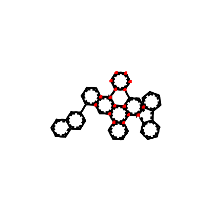 c1ccc(-c2ccccc2-c2c(-c3ccccc3)cccc2-c2ccccc2N(c2cccc(-c3ccc4ccccc4c3)c2)c2cccc(-n3c4ccccc4c4ccccc43)c2)cc1